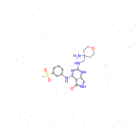 CS(=O)(=O)c1cccc(Nc2nc(NCC3(N)CCOCC3)[nH]c3c[nH]c(=O)c2-3)c1